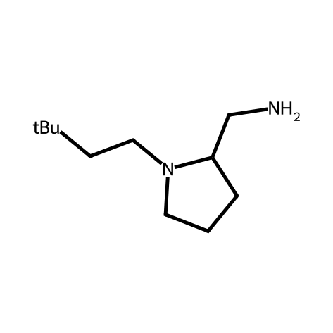 CC(C)(C)CCN1CCCC1CN